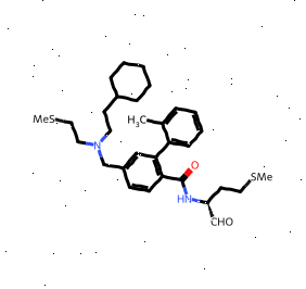 CSCC[C@@H](C=O)NC(=O)c1ccc(CN(CCSC)CCC2CCCCC2)cc1-c1ccccc1C